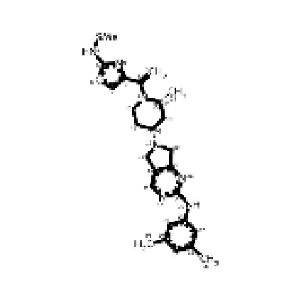 C=C(c1coc(NSC)n1)N1CC[C@@H](N2Cc3cnc(Nc4cc(C)cc(C)c4)nc3C2)C[C@H]1C